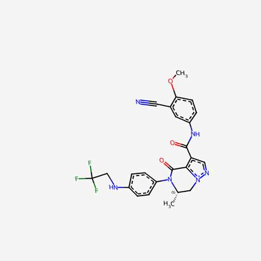 COc1ccc(NC(=O)c2cnn3c2C(=O)N(c2ccc(NCC(F)(F)F)cc2)[C@@H](C)C3)cc1C#N